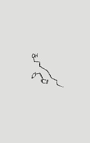 CCCCCCCCO.ClCCl